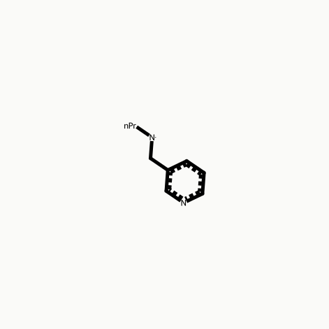 CCC[N]Cc1cccnc1